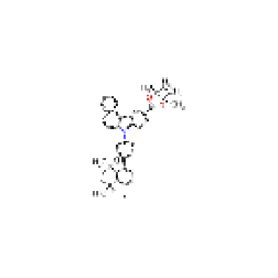 CC1(C)CCC(C)(C)c2c(-c3ccc(-n4c5ccc(B6OC(C)(C)C(C)(C)O6)cc5c5c6ccccc6ccc54)cc3)cccc21